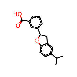 CC(C)c1ccc2c(c1)CC(c1cccc(C(=O)O)c1)O2